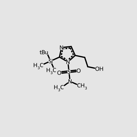 CN(C)S(=O)(=O)n1c(CCO)cnc1[Si](C)(C)C(C)(C)C